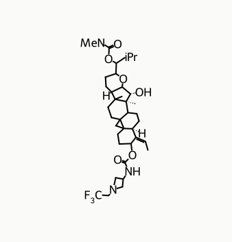 C/C=C1\C(OC(=O)NC2CN(CC(F)(F)F)C2)CCC23CC24CCC2(C)[C@H]5CCC(C(OC(=O)NC)C(C)C)OC5[C@H](O)[C@@]2(C)C4CC[C@@H]13